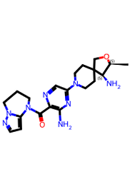 C[C@@H]1OCC2(CCN(c3cnc(C(=O)N4CCCn5nccc54)c(N)n3)CC2)[C@@H]1N